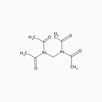 CC(=O)[As](C[As](C(C)=O)C(C)=O)C(C)=O